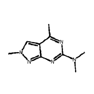 Cc1nc(N(C)C)nc2nn(C)cc12